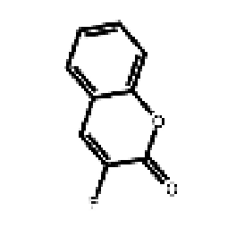 O=c1oc2ccccc2cc1F